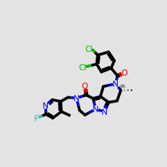 Cc1cc(F)ncc1CN1CCn2nc3c(c2C1=O)CN(C(=O)c1ccc(Cl)c(Cl)c1)[C@H](C)C3